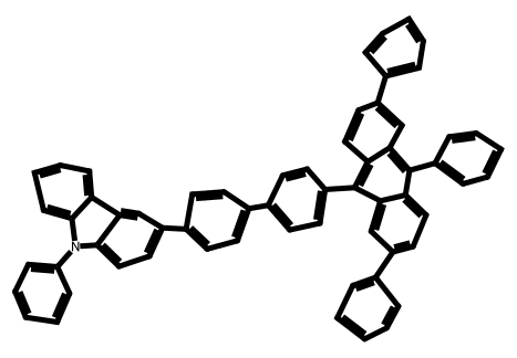 c1ccc(-c2ccc3c(-c4ccc(-c5ccc(-c6ccc7c(c6)c6ccccc6n7-c6ccccc6)cc5)cc4)c4cc(-c5ccccc5)ccc4c(-c4ccccc4)c3c2)cc1